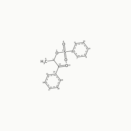 CC(OS(=O)(=O)c1ccccc1)C(=O)c1ccccc1